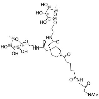 CNCC(=O)CNC(=O)CCCCC(=O)N1CCC(CC(=O)NCCO[C@@H]2O[C@@H](C)[C@@H](O)[C@@H](O)[C@@H]2O)(CC(=O)NCCO[C@@H]2O[C@@H](C)[C@@H](O)[C@@H](O)[C@@H]2O)CC1